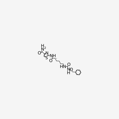 NC(=O)c1csc(NC(=O)[CH]CCCCNC(=O)NOCc2ccccc2)n1